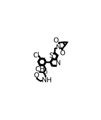 Cc1cc(Cl)cc(-c2ccnc3cc(CN4C(=O)C5CC5C4=O)sc23)c1CC1CNCCOC1